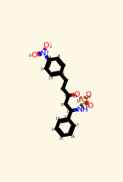 O=[N+]([O-])c1ccc(CCC2CC(c3ccccc3)NS(=O)(=O)O2)cc1